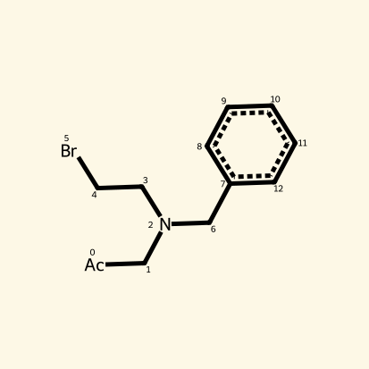 CC(=O)CN(CCBr)Cc1ccccc1